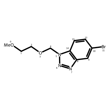 COCCOCn1nnc2cc(Br)ccc21